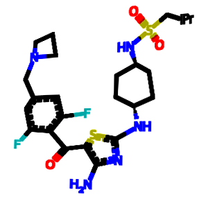 CC(C)CS(=O)(=O)N[C@H]1CC[C@H](Nc2nc(N)c(C(=O)c3c(F)cc(CN4CCC4)cc3F)s2)CC1